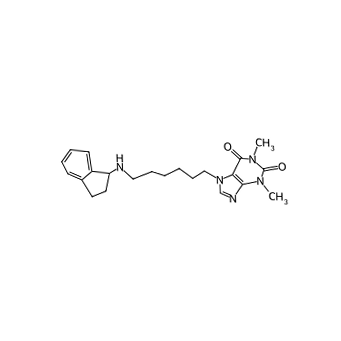 Cn1c(=O)c2c(ncn2CCCCCCNC2CCc3ccccc32)n(C)c1=O